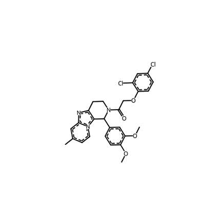 COc1ccc(C2c3c(nc4cc(C)ccn34)CCN2C(=O)COc2ccc(Cl)cc2Cl)cc1OC